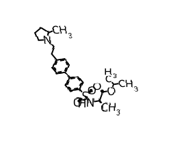 CC(C)OC(=O)C(C)NS(=O)(=O)c1ccc(-c2ccc(CCN3CCCC3C)cc2)cc1